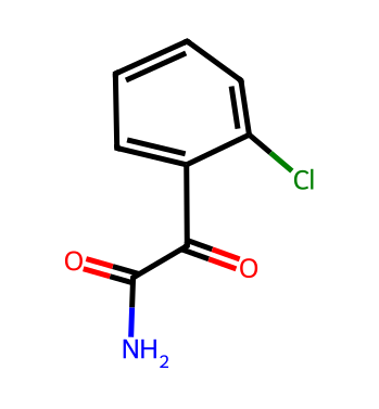 NC(=O)C(=O)c1ccccc1Cl